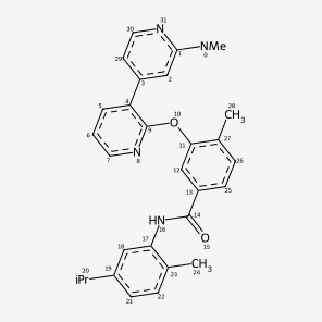 CNc1cc(-c2cccnc2Oc2cc(C(=O)Nc3cc(C(C)C)ccc3C)ccc2C)ccn1